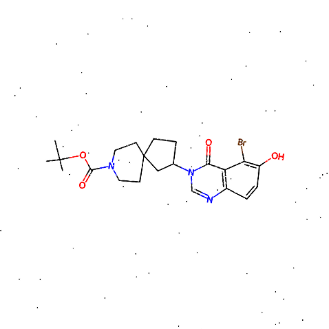 CC(C)(C)OC(=O)N1CCC2(CCC(n3cnc4ccc(O)c(Br)c4c3=O)C2)CC1